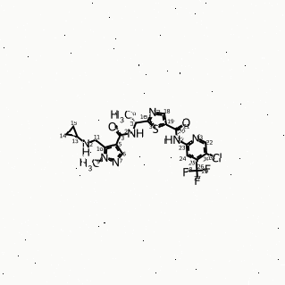 C[C@@H](NC(=O)c1cnn(C)c1CNC1CC1)c1ncc(C(=O)Nc2cc(C(F)(F)F)c(Cl)cn2)s1